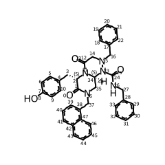 O=C1[C@H](Cc2ccc(O)cc2)N2C(=O)CN(Cc3ccccc3)N(C(=O)NCc3ccccc3)[C@H]2CN1Cc1cccc2ccccc12